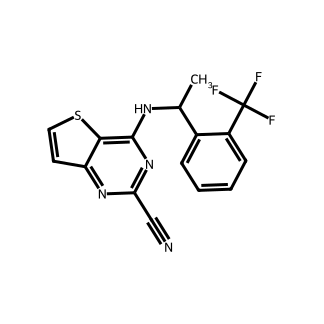 CC(Nc1nc(C#N)nc2ccsc12)c1ccccc1C(F)(F)F